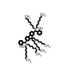 CCCCCCCCN(CCCCCCCC)C(c1ccc2c(c1)C(CCCCCCCC)(CCCCCCCC)c1cc(C(c3ccccc3O)N(CCCCCCCC)CCCCCCCC)ccc1-2)c1ccccc1O